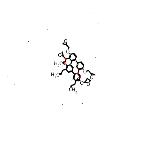 C=CCc1cc(-c2ccc(OCC3CO3)c(CC=C)c2-c2cc(-c3ccc(OC4CCO4)c(CC=C)c3)cc(CC=C)c2OCC2CO2)ccc1OCC1CO1